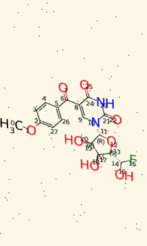 COc1ccc(C(=O)c2cn([C@@H]3O[C@H](C(O)F)[C@@H](O)[C@H]3O)c(=O)[nH]c2=O)cc1